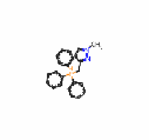 Cn1ccc(C[PH](c2ccccc2)(c2ccccc2)c2ccccc2)n1